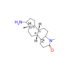 CN1C(=O)CC[C@@]2(C)C1CC[C@@H]1[C@H]2CC[C@]2(C)C(N)CC[C@@H]12